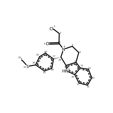 O=C(CCl)N1CCc2c([nH]c3ccccc23)[C@@H]1c1ccc(SI)cc1